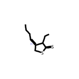 CCC/C=C1/CSC(=S)C1CC